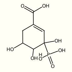 O=C(O)C1=CC(O)(P(=O)(O)O)C(O)C(O)C1